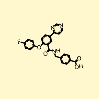 O=C(O)c1ccc(CNC(=O)c2cc(-c3ccncn3)ccc2Oc2ccc(F)cc2)cc1